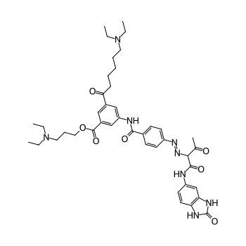 CCN(CC)CCCCCC(=O)c1cc(NC(=O)c2ccc(/N=N/C(C(C)=O)C(=O)Nc3ccc4[nH]c(=O)[nH]c4c3)cc2)cc(C(=O)OCCCN(CC)CC)c1